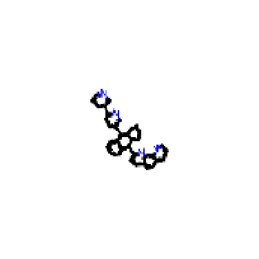 c1cncc(-c2ccc(-c3c4ccccc4c(-c4ccc5ccc6cccnc6c5n4)c4ccccc34)cn2)c1